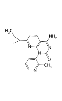 Cc1ncccc1-n1c(=O)nc(N)c2ccc(C3CC3C)nc21